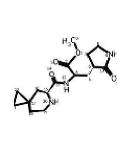 COC(=O)C(C[C@@H]1CCNC1=O)NC(=O)[C@@H]1CC2(CCN1)CC2